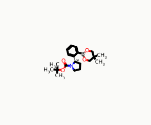 CC1(C)COB(c2ccccc2[C@@H]2CCCN2C(=O)OC(C)(C)C)OC1